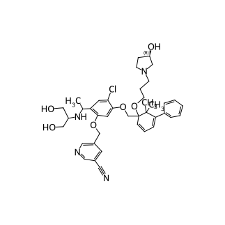 CC(NC(CO)CO)c1cc(Cl)c(OCC2(OCCCN3CC[C@@H](O)C3)C=CC=C(c3ccccc3)C2(C)C)cc1OCc1cncc(C#N)c1